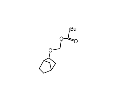 CCC(C)C(=O)OCOC1CC2CCC1C2